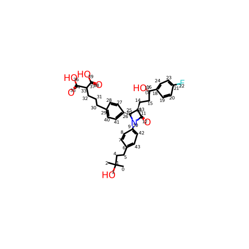 CC(C)(O)CCc1ccc(N2C(=O)[C@H](CC[C@H](O)c3ccc(F)cc3)[C@H]2c2ccc(CCCC(C(=O)O)C(=O)O)cc2)cc1